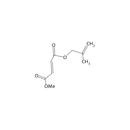 C=C(C)COC(=O)C=CC(=O)OC